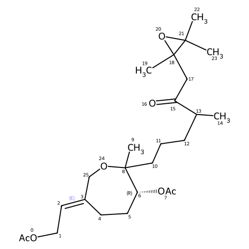 CC(=O)OC/C=C1\CC[C@@H](OC(C)=O)C(C)(CCCC(C)C(=O)CC2(C)OC2(C)C)OC1